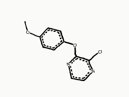 COc1ccc(Oc2nccnc2Cl)cc1